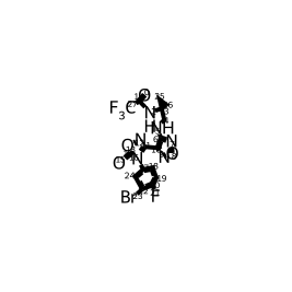 O=C(NC1(CNc2nonc2-c2noc(=O)n2-c2ccc(F)c(Br)c2)CC1)C(F)(F)F